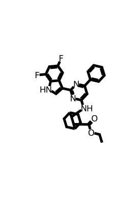 CCOC(=O)C1C2CCC(CC2)C1Nc1cc(-c2ccccc2)nc(-c2c[nH]c3c(F)cc(F)cc23)n1